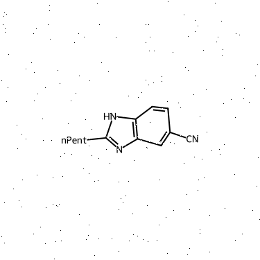 CCCCCc1nc2cc(C#N)ccc2[nH]1